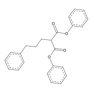 O=C(Oc1ccccc1)C(CCCc1ccccc1)C(=O)Oc1ccccc1